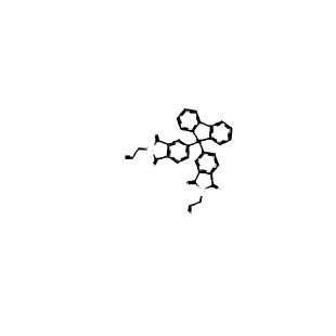 C=CCN1C(=O)c2ccc(C3(c4ccc5c(c4)C(=O)N(CC=C)C5=O)c4ccccc4-c4ccccc43)cc2C1=O